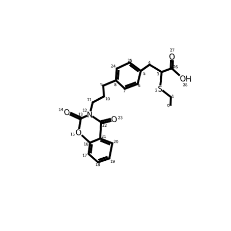 CCSC(Cc1ccc(CCCn2c(=O)oc3ccccc3c2=O)cc1)C(=O)O